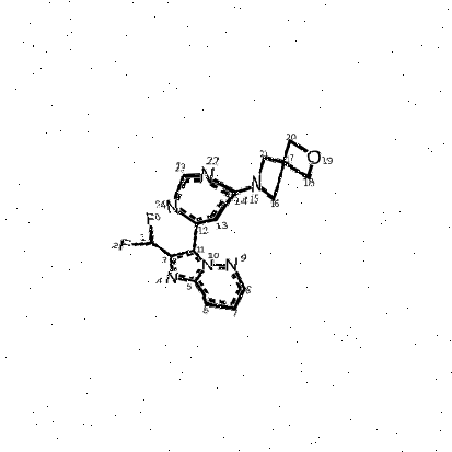 FC(F)c1nc2cccnn2c1-c1cc(N2CC3(COC3)C2)ncn1